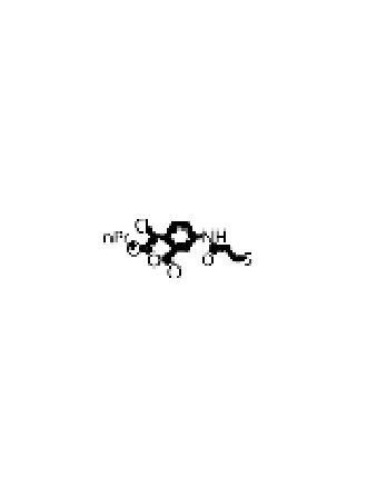 CCCOc1oc(=O)c2cc(NC(=O)CC=S)ccc2c1Cl